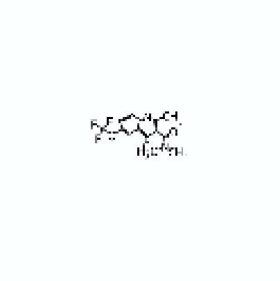 Cc1nc2ccc(OC(F)(F)F)cc2c(Cl)c1C(=O)N(C)C